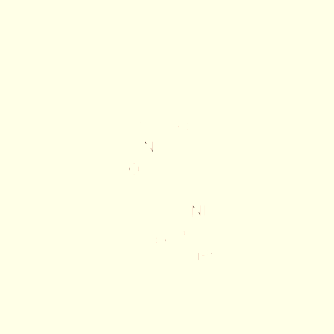 CC(C)C(=O)NCCc1oc2ccccc2[n+]1[O-]